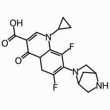 O=C(O)C1=CN(C2CC2)C2=C(F)C(N3CC4CC3CN4)=C(F)CC2C1=O